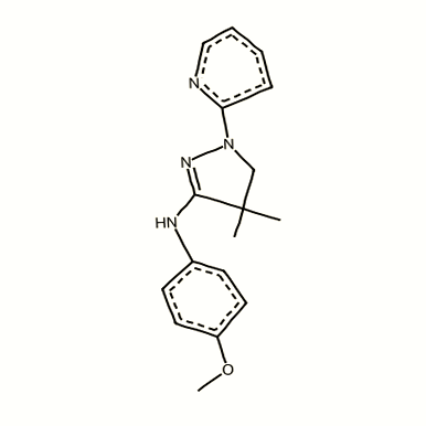 COc1ccc(NC2=NN(c3ccccn3)CC2(C)C)cc1